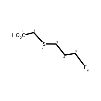 O=C(O)CSCCCF